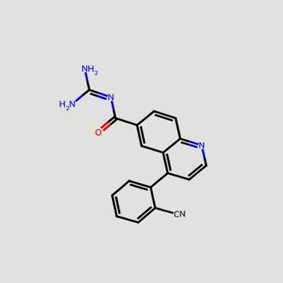 N#Cc1ccccc1-c1ccnc2ccc(C(=O)N=C(N)N)cc12